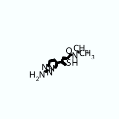 CC(C)NC(=O)c1cc(-c2ccc3nc(N)nn3c2)cs1